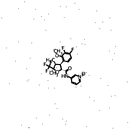 COc1c([C@H]2[C@H](C(=O)Nc3ccc[n+]([O-])c3)O[C@@](C)(C(F)(F)F)[C@H]2C)ccc(F)c1F